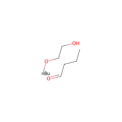 CCCC=O.CCCCOCCO